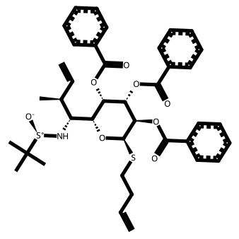 C=CCCS[C@H]1O[C@H]([C@H](N[S@+]([O-])C(C)(C)C)[C@@H](C)C=C)[C@H](OC(=O)c2ccccc2)[C@H](OC(=O)c2ccccc2)[C@H]1OC(=O)c1ccccc1